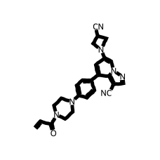 C=CC(=O)N1CCN(c2ccc(-c3cc(N4CC(C#N)C4)cn4ncc(C#N)c34)cc2)CC1